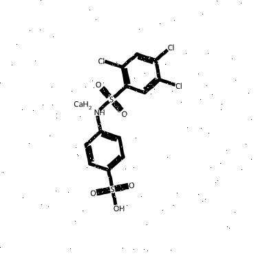 O=S(=O)(O)c1ccc(NS(=O)(=O)c2cc(Cl)c(Cl)cc2Cl)cc1.[CaH2]